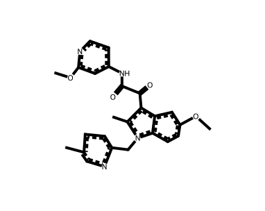 COc1ccc2c(c1)c(C(=O)C(=O)Nc1ccnc(OC)c1)c(C)n2Cc1ccc(C)cn1